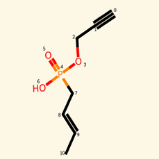 C#CCOP(=O)(O)CC=CC